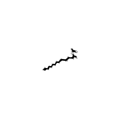 CCC=CCCCCCCCCCC(C)OC(C)=O